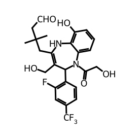 CC(C)(CC=O)CC1=C(CO)C(c2ccc(C(F)(F)F)cc2F)N(C(=O)CO)c2cccc(O)c2N1